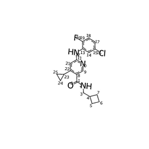 O=C(NCC1CCC1)c1cnc(Nc2cc(Cl)ccc2F)cc1C1CC1